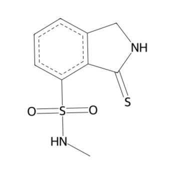 CNS(=O)(=O)c1cccc2c1C(=S)NC2